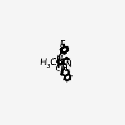 Cc1c(C)n(Cc2cccc(F)c2)c2ccnc(N3CCc4ccccc4C3)c12